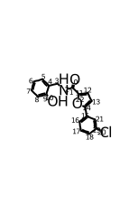 O=C(NCc1ccccc1O)c1ccc(-c2cccc(Cl)c2)o1